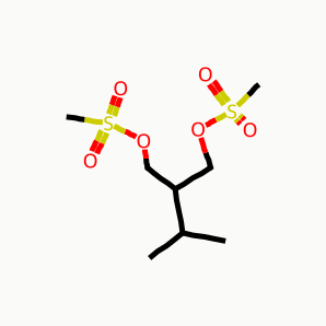 CC(C)C(COS(C)(=O)=O)COS(C)(=O)=O